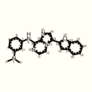 CN(C)c1cccc(Nc2nccn3c(-c4cc5ccccc5o4)cnc23)c1